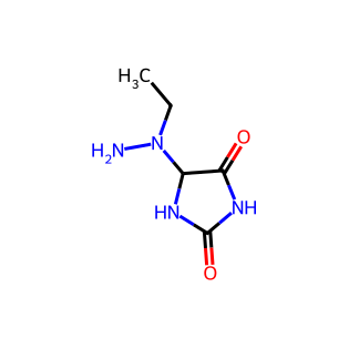 CCN(N)C1NC(=O)NC1=O